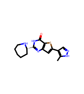 Cc1[nH]ncc1-c1cc2nc([C@@H]3CCCCCN3)[nH]c(=O)c2s1